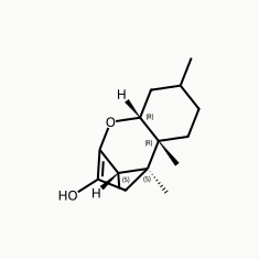 CC1CC[C@@]2(C)[C@@H](C1)OC1=C(O)C[C@@]2(C)[C@@H]1C